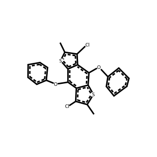 Cc1sc2c(Oc3ccccc3)c3c(Cl)c(C)sc3c(Oc3ccccc3)c2c1Cl